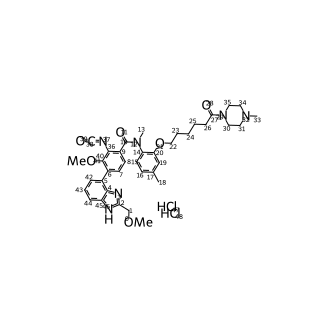 COCc1nc2c(-c3ccc(C(=O)N(C)c4ccc(C)cc4OCCCCCC(=O)N4CCN(C)CC4)c(N=C=O)c3OC)cccc2[nH]1.Cl.Cl